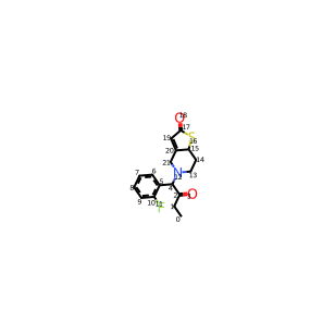 CCC(=O)C(c1ccccc1F)N1CCC2SC(=O)C=C2C1